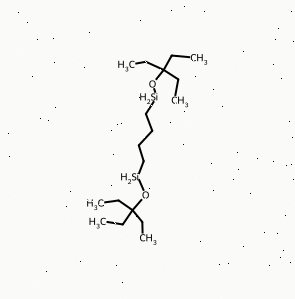 CCC(CC)(CC)O[SiH2]CCCC[SiH2]OC(CC)(CC)CC